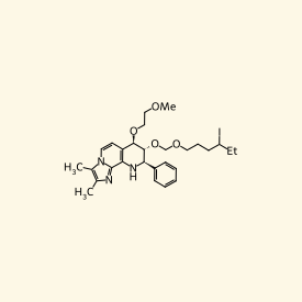 CCC(I)CCCOCO[C@@H]1[C@@H](c2ccccc2)Nc2c(ccn3c(C)c(C)nc23)[C@H]1OCCOC